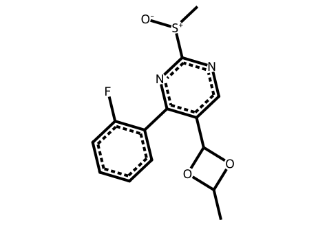 CC1OC(c2cnc([S+](C)[O-])nc2-c2ccccc2F)O1